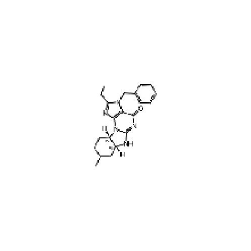 CCc1nc2c(c(=O)nc3n2[C@H]2CCC(C)C[C@H]2N3)n1Cc1ccccc1